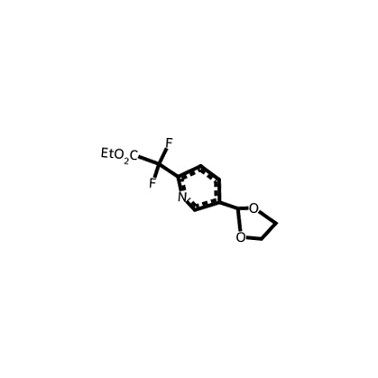 CCOC(=O)C(F)(F)c1ccc(C2OCCO2)cn1